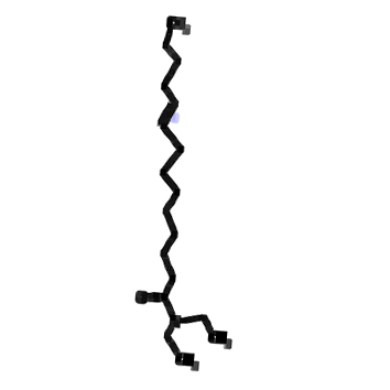 CCCC/C=C/CCCCCCCC(=O)N(CC)CC